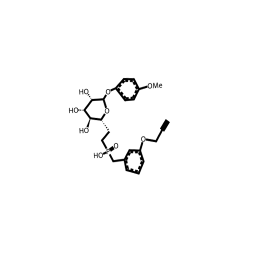 C#CCOc1cccc(CP(=O)(O)CC[C@H]2OC(Oc3ccc(OC)cc3)[C@@H](O)[C@@H](O)[C@@H]2O)c1